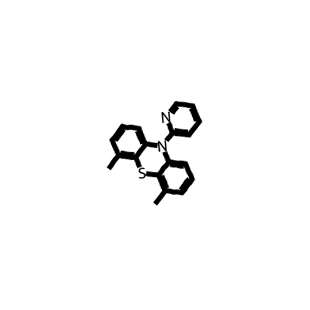 Cc1cccc2c1Sc1c(C)cccc1N2c1ccccn1